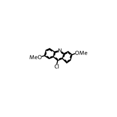 COc1ccc2c(Cl)c3cc(OC)ccc3nc2c1